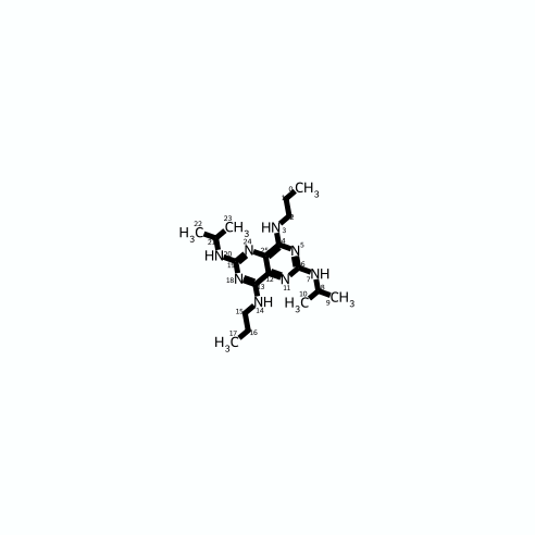 CCCNc1nc(NC(C)C)nc2c(NCCC)nc(NC(C)C)nc12